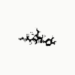 CCOC(=O)C(=O)c1c(C)c(C(=O)Nc2ccc(F)c(C)c2)c(CC)n1C